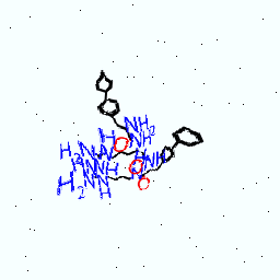 N=C(N)NCCCCNC(=O)[C@H](Cc1ccc(-c2ccccc2)cc1)NC(=O)C[C@H](CCCNC(=N)N)NC(=O)[C@@H](N)Cc1ccc(-c2ccccc2)cc1